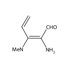 C=C/C(NC)=C(/N)C=O